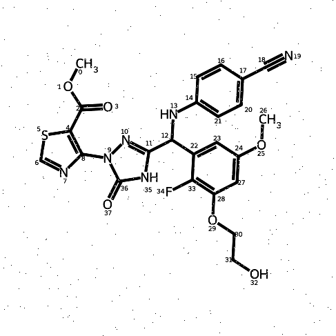 COC(=O)c1scnc1-n1nc(C(Nc2ccc(C#N)cc2)c2cc(OC)cc(OCCO)c2F)[nH]c1=O